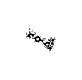 C=C(C(=O)OC1CCC(C(=O)OC(C)CC(S(=O)(=O)C(F)(F)F)S(=O)(=O)C(F)(F)F)CC1)C(F)(F)F